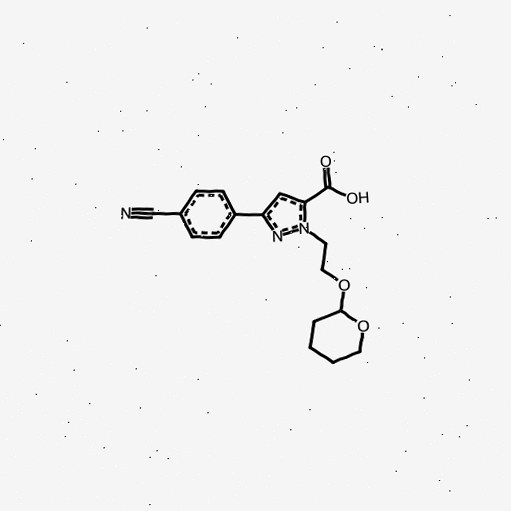 N#Cc1ccc(-c2cc(C(=O)O)n(CCOC3CCCCO3)n2)cc1